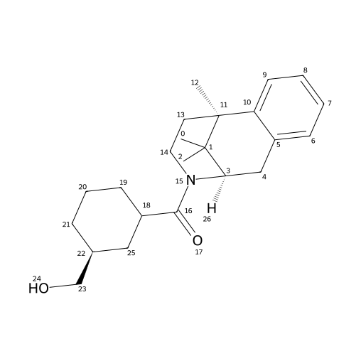 CC1(C)[C@H]2Cc3ccccc3[C@]1(C)CCN2C(=O)C1CCC[C@H](CO)C1